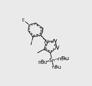 CCC[CH2][Sn]([CH2]CCC)([CH2]CCC)[c]1nnn(-c2ccc(F)cc2C)c1C